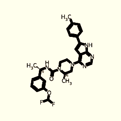 Cc1ccc(-c2cc3c(N4CCN(C(=O)N[C@@H](C)c5cccc(OC(F)F)c5)[C@H](C)C4)ncnc3[nH]2)cc1